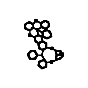 Sc1c2cccc1Oc1cc3cc4c(cc3cc1C(c1ccccc1)c1ccccc1O2)Oc1cccc2c1S4(c1ccccc1)c1ccccc1O2